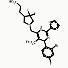 CCOC(=O)C1=C(CN2CC(CCC(=O)O)C(F)(F)C2)NC(c2nccs2)=NC1c1ccc(F)cc1Br